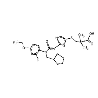 CCOc1ccc(N(CC2CCCC2)C(=O)Nc2ncc(SCC(C)(C)C(=O)O)s2)c(F)c1